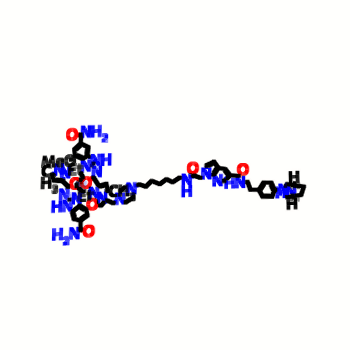 CCn1nc(C)cc1C(=O)/N=c1/[nH]c2cc(C(N)=O)cc(OC)c2n1C/C=C/Cn1/c(=N\C(=O)c2cc(C)nn2CC)[nH]c2cc(C(N)=O)cc(OCCCN3CCN(CCCCCCCNC(=O)Cn4ccc5cc(C(=O)NCCc6ccc(N7C[C@H]8CC[C@@H](C7)N8)cc6)cnc54)CC3)c21